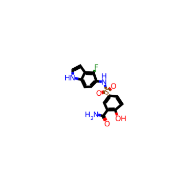 NC(=O)c1cc(S(=O)(=O)Nc2ccc3[nH]ccc3c2F)ccc1O